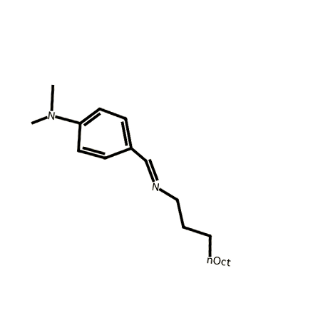 CCCCCCCCCCC/N=C/c1ccc(N(C)C)cc1